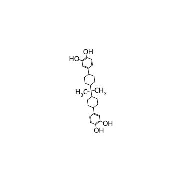 CC(C)(C1CCC(c2ccc(O)c(O)c2)CC1)C1CCC(c2ccc(O)c(O)c2)CC1